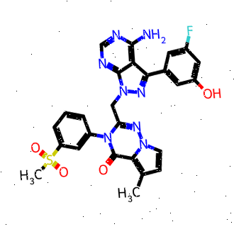 Cc1ccn2nc(Cn3nc(-c4cc(O)cc(F)c4)c4c(N)ncnc43)n(-c3cccc(S(C)(=O)=O)c3)c(=O)c12